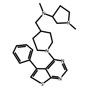 CN1CCC(N(C)CC2CCN(c3ncnc4scc(-c5ccccc5)c34)CC2)C1